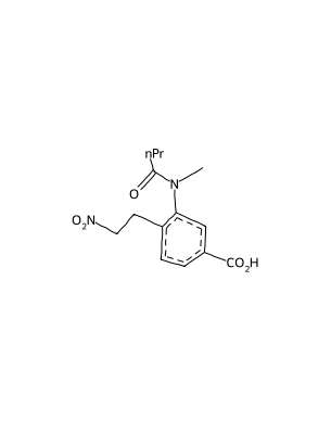 CCCC(=O)N(C)c1cc(C(=O)O)ccc1CC[N+](=O)[O-]